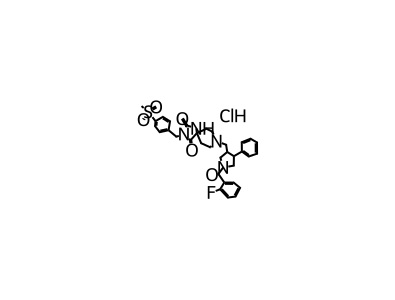 CS(=O)(=O)c1ccc(CN2C(=O)NC3(CCN(CC4CN(C(=O)c5ccccc5F)CC4c4ccccc4)CC3)C2=O)cc1.Cl